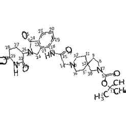 CC(C)(C)OC(=O)N1CCC2(CCN(CC(=O)Nc3cccc4c3CN(C3CCC(=O)NC3=O)C4=O)CC2)C1